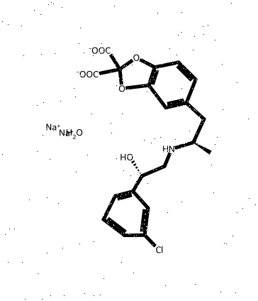 C[C@H](Cc1ccc2c(c1)OC(C(=O)[O-])(C(=O)[O-])O2)NC[C@@H](O)c1cccc(Cl)c1.O.[Na+].[Na+]